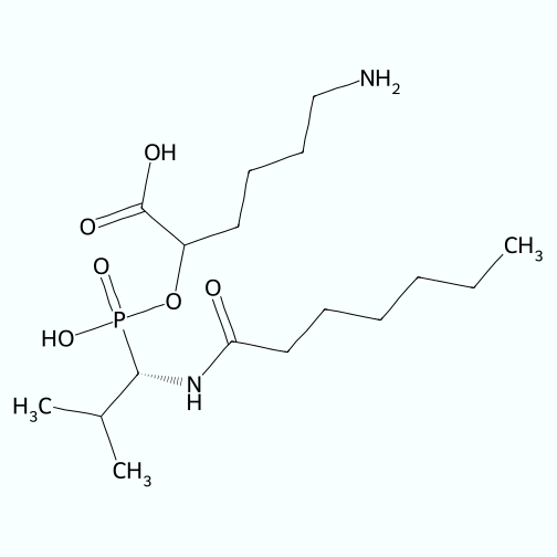 CCCCCCC(=O)N[C@H](C(C)C)P(=O)(O)OC(CCCCN)C(=O)O